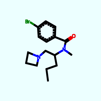 CCCC(CN1CCC1)N(C)C(=O)c1ccc(Br)cc1